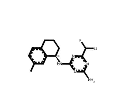 CCC(F)c1nc(N)nc(N[C@@H]2CCCc3ccc(C)cc32)n1